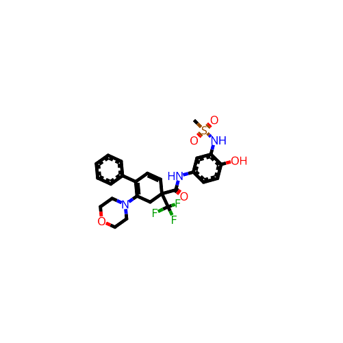 CS(=O)(=O)Nc1cc(NC(=O)C2(C(F)(F)F)C=CC(c3ccccc3)=C(N3CCOCC3)C2)ccc1O